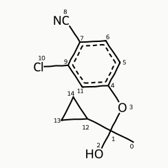 CC(O)(Oc1ccc(C#N)c(Cl)c1)C1CC1